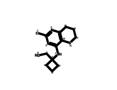 OCC1(Nc2nc(Cl)nc3c2SCCC3)CCC1